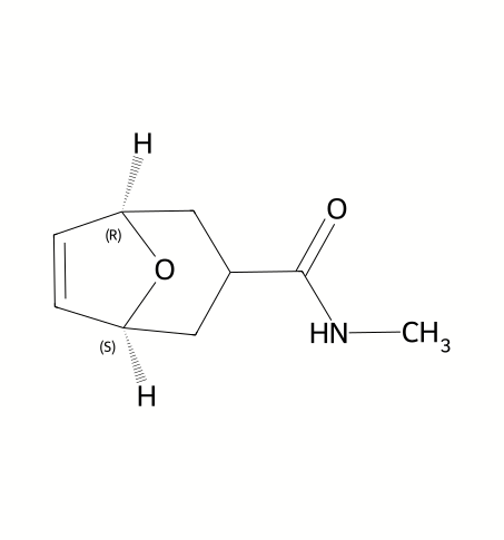 CNC(=O)C1C[C@H]2C=C[C@@H](C1)O2